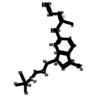 C/C(=N/N=N)Nc1ccc2c(Br)cn(COCC[Si](C)(C)C)c2n1